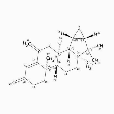 C=C1C[C@H]2[C@@H]3[C@@H]4C[C@@H]4[C@](C)(C#N)[C@@]3(C)CC[C@@H]2[C@@]2(C)CCC(=O)C=C12